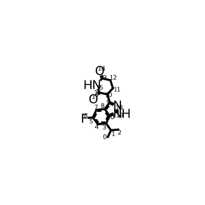 CC(C)c1cc(F)cc2c(C3CCC(=O)NC3=O)n[nH]c12